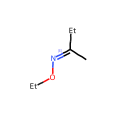 CCO/N=C(\C)CC